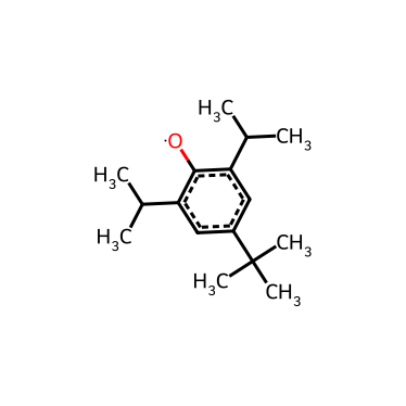 CC(C)c1cc(C(C)(C)C)cc(C(C)C)c1[O]